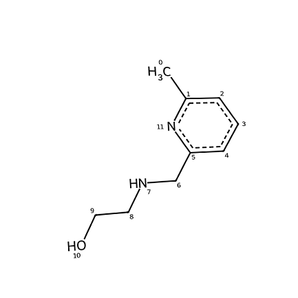 Cc1cccc(CNCCO)n1